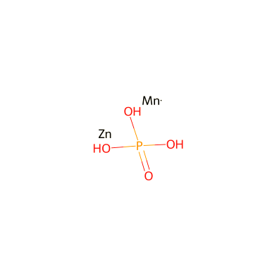 O=P(O)(O)O.[Mn].[Zn]